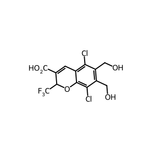 O=C(O)C1=Cc2c(Cl)c(CO)c(CO)c(Cl)c2OC1C(F)(F)F